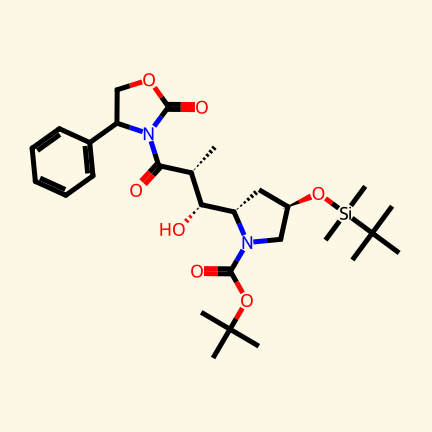 C[C@@H](C(=O)N1C(=O)OCC1c1ccccc1)[C@@H](O)[C@@H]1C[C@@H](O[Si](C)(C)C(C)(C)C)CN1C(=O)OC(C)(C)C